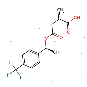 C=C(CC(=O)O[C@@H](C)c1ccc(C(F)(F)F)cc1)C(=O)O